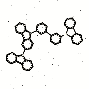 c1cc(-c2cccc([SH]3c4ccccc4-c4ccccc43)c2)cc(-n2c3ccccc3c3cc(-n4c5ccccc5c5ccccc54)ccc32)c1